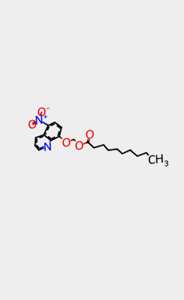 CCCCCCCCCC(=O)OCOc1ccc([N+](=O)[O-])c2cccnc12